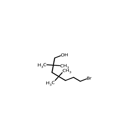 CC(C)(CO)CC(C)(C)CCCBr